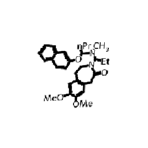 CCCC(Oc1ccc2ccccc2c1)N(C)C(CC)N1CCc2cc(OC)c(OC)cc2CC1=O